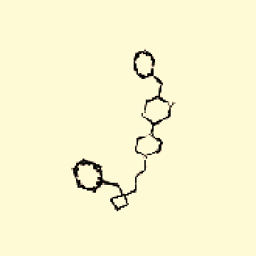 c1ccc(CC2COC(N3CCN(CCCC4(Cc5ccccc5)CCC4)CC3)CO2)cc1